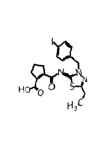 CCc1nn(Cc2ccc(I)cc2)c(=NC(=O)C2=C(C(=O)O)CCC2)s1